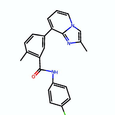 Cc1cn2cccc(-c3ccc(C)c(C(=O)Nc4ccc(F)cc4)c3)c2n1